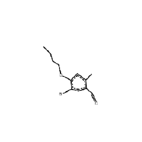 CCCCOc1cc(C)c(C=O)cc1Br